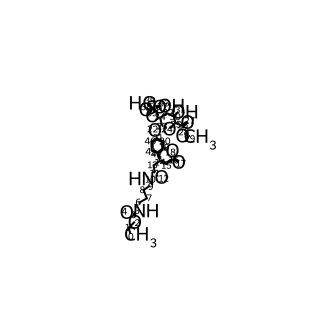 CCOC(=O)NCCCCNC(=O)Cc1cc(=O)oc2cc(OC3OC(C(=O)OC)C(O)C(O)C3OS(=O)(=O)O)ccc12